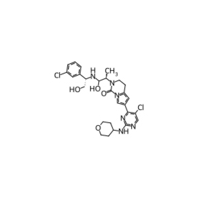 C[C@H](C(O)N[C@H](CO)c1cccc(Cl)c1)N1CCc2cc(-c3nc(NC4CCOCC4)ncc3Cl)cn2C1=O